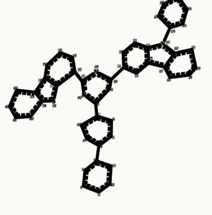 c1ccc(-c2ccc(-c3cc(-c4ccc5c(c4)c4ccccc4n5-c4ccccc4)nc(-c4cccc5c4sc4ccccc45)n3)cc2)cc1